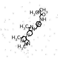 Cc1cc(N2CCc3c(c(C)nn3CC34CCC(NCC(=O)N(C)C)(CC3)CC4)C2)c2cnn(C)c2n1